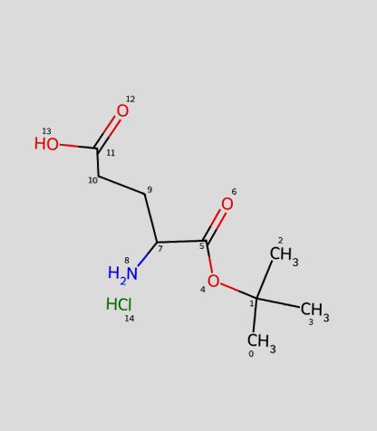 CC(C)(C)OC(=O)C(N)CCC(=O)O.Cl